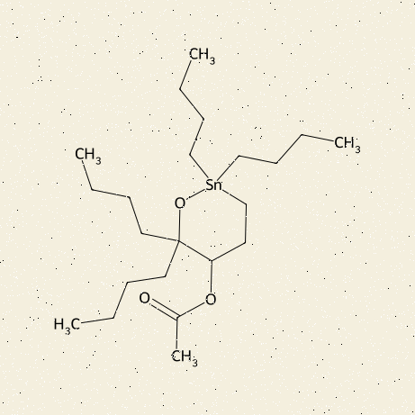 CCCCC1(CCCC)[O][Sn]([CH2]CCC)([CH2]CCC)[CH2]CC1OC(C)=O